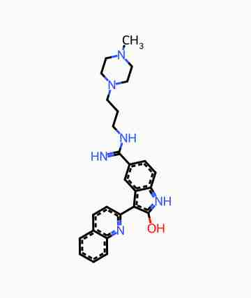 CN1CCN(CCCNC(=N)c2ccc3[nH]c(O)c(-c4ccc5ccccc5n4)c3c2)CC1